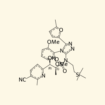 COc1cccc(OC)c1-n1c(-c2ccc(C)o2)nnc1N(CC[Si](C)(C)C)S(=O)(=O)[C@@H](C)[C@H](O)c1ccc(C#N)c(C)n1